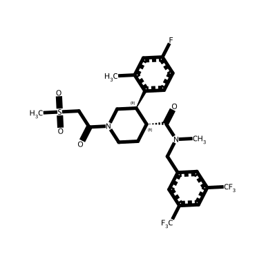 Cc1cc(F)ccc1[C@@H]1CN(C(=O)CS(C)(=O)=O)CC[C@H]1C(=O)N(C)Cc1cc(C(F)(F)F)cc(C(F)(F)F)c1